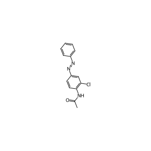 CC(=O)Nc1ccc(N=Nc2ccccc2)cc1Cl